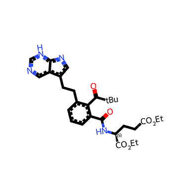 CCOC(=O)CC[C@H](NC(=O)c1cccc(CCc2cnc3[nH]cncc2-3)c1C(=O)C(C)(C)C)C(=O)OCC